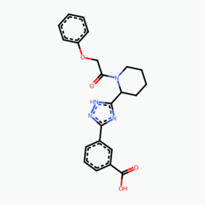 O=C(O)c1cccc(-c2n[nH]c(C3CCCCN3C(=O)COc3ccccc3)n2)c1